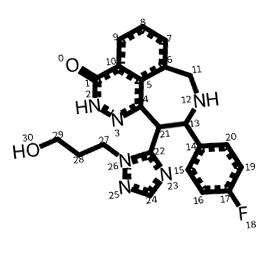 O=c1[nH]nc2c3c(cccc13)CNC(c1ccc(F)cc1)C2c1ncnn1CCCO